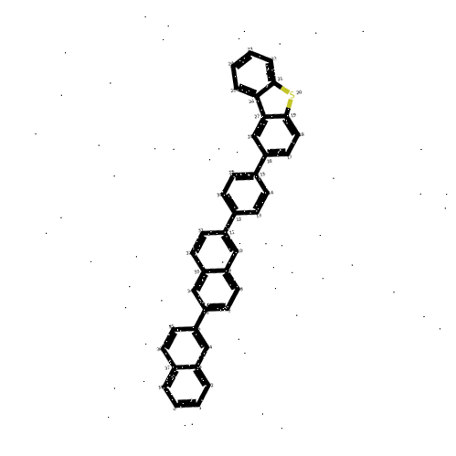 c1ccc2cc(-c3ccc4cc(-c5ccc(-c6ccc7sc8ccccc8c7c6)cc5)ccc4c3)ccc2c1